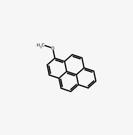 COc1ccc2ccc3[c]ccc4ccc1c2c34